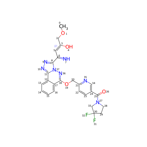 COC/C(O)=C/C(=N)c1nnc2c3ccccc3c(OCc3ccc(C(=O)N4CCC(F)(F)C4)cn3)nn12